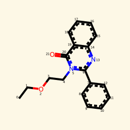 CCOCCn1c(-c2ccccc2)nc2ccccc2c1=O